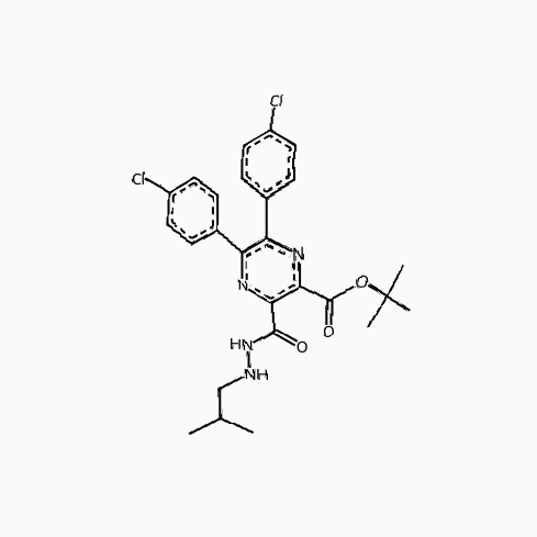 CC(C)CNNC(=O)c1nc(-c2ccc(Cl)cc2)c(-c2ccc(Cl)cc2)nc1C(=O)OC(C)(C)C